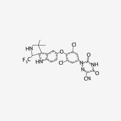 CC1(C)CNC(C(F)(F)F)c2[nH]c3ccc(Oc4c(Cl)cc(-n5nc(C#N)c(=O)[nH]c5=O)cc4Cl)cc3c21